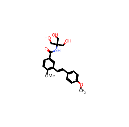 COc1ccc(C(=O)NC(CO)(CO)CO)cc1/C=C/c1ccc(OC(F)(F)F)cc1